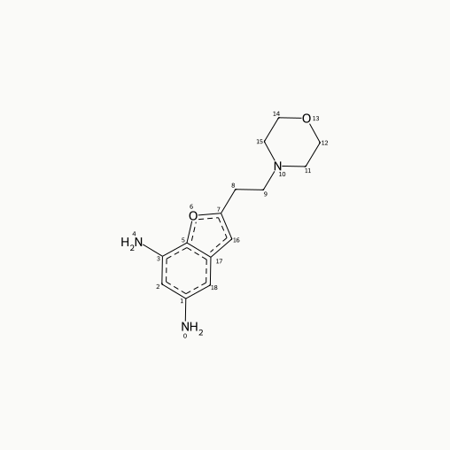 Nc1cc(N)c2oc(CCN3CCOCC3)cc2c1